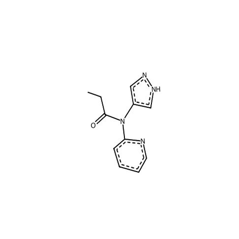 CCC(=O)N(c1cn[nH]c1)c1ccccn1